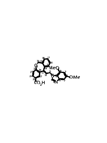 COc1cc(OC)c2c(c1)ncn2C/C=C1\c2ccccc2COc2ccc(C(=O)O)cc21